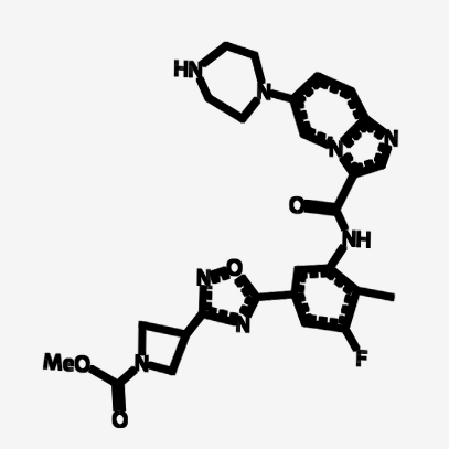 COC(=O)N1CC(c2noc(-c3cc(F)c(C)c(NC(=O)c4cnc5ccc(N6CCNCC6)cn45)c3)n2)C1